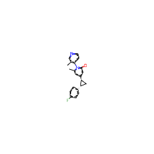 Cc1cnccc1-n1c(C)cc([C@H]2C[C@@H]2c2ccc(F)cc2)cc1=O